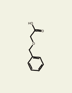 O=C(O)CO[CH]c1ccccc1